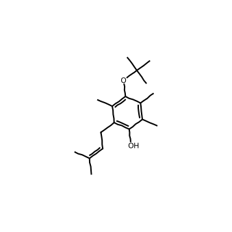 CC(C)=CCc1c(C)c(OC(C)(C)C)c(C)c(C)c1O